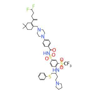 C=C(CCC(F)F)C1=C(CN2CCN(c3ccc(C(=O)NS(=O)(=O)c4ccc(NC(CCN5CCCC5)CSc5ccccc5)c(S(=O)(=O)C(F)(F)F)c4)cc3)CC2)CCC(C)(C)C1